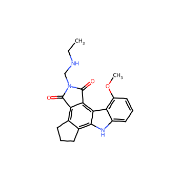 CCNCN1C(=O)c2c3c(c4[nH]c5cccc(OC)c5c4c2C1=O)CCC3